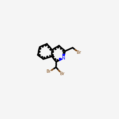 BrCc1cc2ccccc2c(C(Br)Br)n1